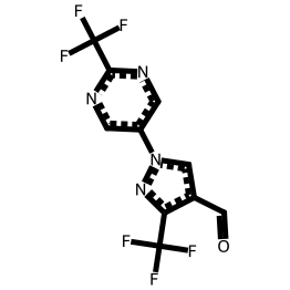 O=Cc1cn(-c2cnc(C(F)(F)F)nc2)nc1C(F)(F)F